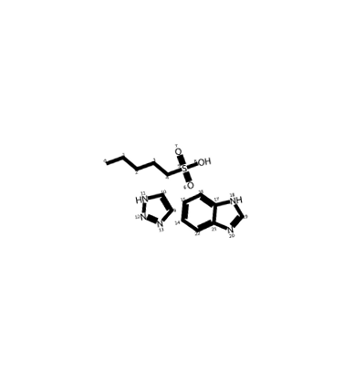 CCCCCS(=O)(=O)O.c1c[nH]nn1.c1ccc2[nH]cnc2c1